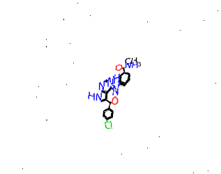 CNC(=O)c1cccc(Nc2ncnc3[nH]cc(C(=O)c4ccc(Cl)cc4)c23)c1